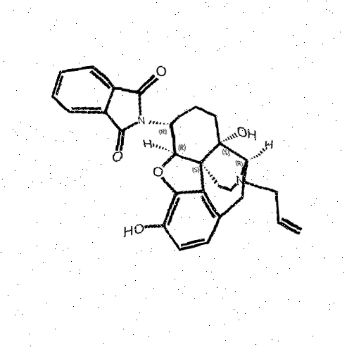 C=CCN1CC[C@]23c4c5ccc(O)c4O[C@H]2[C@H](N2C(=O)c4ccccc4C2=O)CC[C@@]3(O)[C@H]1C5